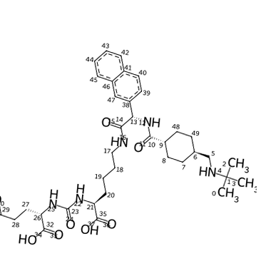 CC(C)(C)NC[C@H]1CC[C@H](C(=O)N[C@H](C(=O)NCCCC[C@H](NC(=O)N[C@@H](CCC(=O)O)C(=O)O)C(=O)O)c2ccc3ccccc3c2)CC1